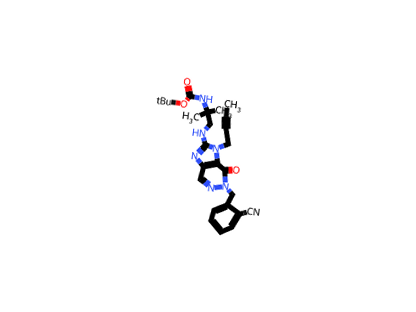 CC#CCn1c(NCC(C)(C)NC(=O)OC(C)(C)C)nc2cnn(Cc3ccccc3C#N)c(=O)c21